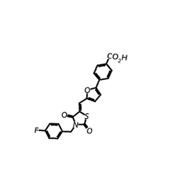 O=C(O)c1ccc(-c2ccc(/C=C3\SC(=O)N(Cc4ccc(F)cc4)C3=O)o2)cc1